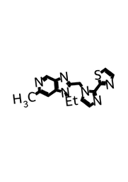 CCn1c(Cn2ccnc2-c2nccs2)nc2cnc(C)cc21